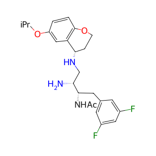 CC(=O)N[C@@H](Cc1cc(F)cc(F)c1)[C@H](N)CN[C@H]1CCOc2ccc(OC(C)C)cc21